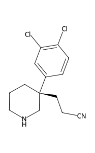 N#CCC[C@]1(c2ccc(Cl)c(Cl)c2)CCCNC1